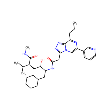 CCCc1nc(-c2cccnc2)cn2c(CC(=O)NC(CC3CCCCC3)[C@@H](O)C[C@H](C(=O)NC)C(C)C)nnc12